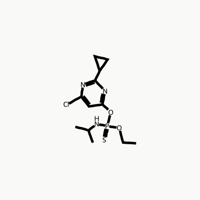 CCOP(=S)(NC(C)C)Oc1cc(Cl)nc(C2CC2)n1